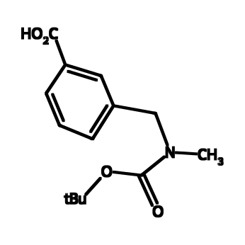 CN(Cc1cccc(C(=O)O)c1)C(=O)OC(C)(C)C